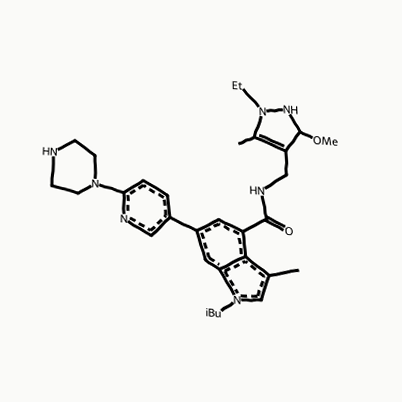 CCC(C)n1cc(C)c2c(C(=O)NCC3=C(C)N(CC)NC3OC)cc(-c3ccc(N4CCNCC4)nc3)cc21